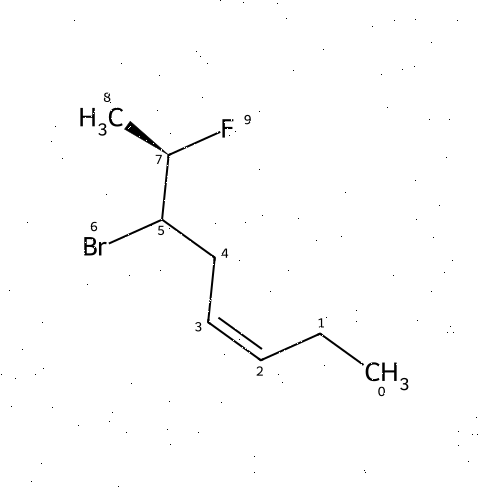 CC/C=C\CC(Br)[C@@H](C)F